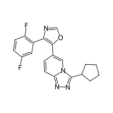 Fc1ccc(F)c(-c2ncoc2-c2ccc3nnc(C4CCCC4)n3c2)c1